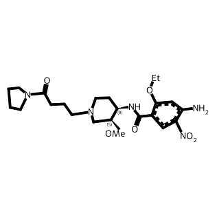 CCOc1cc(N)c([N+](=O)[O-])cc1C(=O)N[C@@H]1CCN(CCCC(=O)N2CCCC2)C[C@@H]1OC